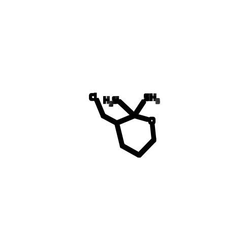 [SiH3]C1([SiH3])OCCCC1CCl